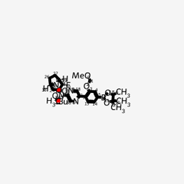 COCOc1cc(B2OC(C)C(C)(C)O2)ccc1-c1cnc(N(C)[C@@H]2C[C@H]3CC[C@@H]([C@@H]2F)N3C(=O)OC(C)(C)C)cn1